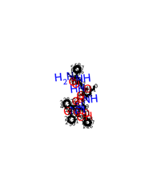 CCCCC(NC(=O)[C@@H]1C[C@@H](OCc2ccccc2)CN1C(=O)C(NC(=O)C1CCCC[C@H]1C(=O)O)C1CCCCC1)C(=O)C(=O)NCC(=O)NC(C(N)=O)c1ccccc1